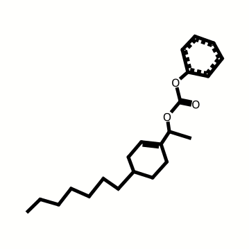 CCCCCCCC1CC=C(C(C)OC(=O)Oc2ccccc2)CC1